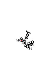 C#CC1(c2ccc(OCCCc3sc(N4CCc5cccc(C(=O)Nc6nc7ccccc7s6)c5C4)nc3C(=O)O)cc2)CCC1